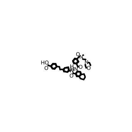 CN(CCN1CCOCC1)C(=O)c1cccc(C(=O)Nc2cc3c(cc2C(=O)Nc2ccc(CCc4ccc(C(=O)O)cc4)cc2)CCCC3)c1